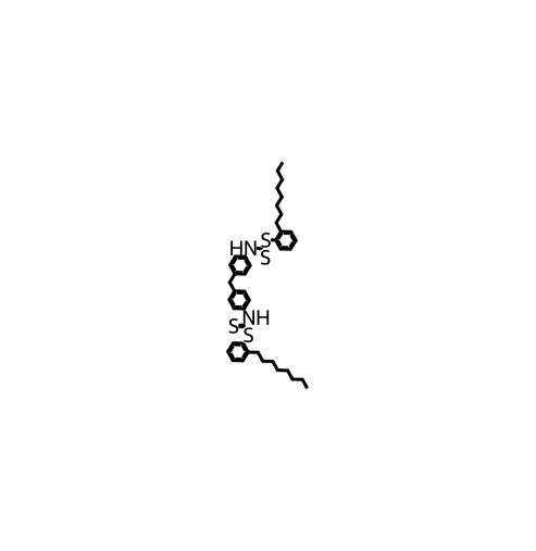 CCCCCCCCc1ccccc1SC(=S)Nc1ccc(Cc2ccc(NC(=S)Sc3ccccc3CCCCCCCC)cc2)cc1